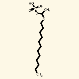 CCCCCCCCCCCCSC(C)OP(=O)(O)O